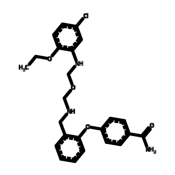 CCOc1ccc(Cl)cc1NCOCNCc1ccccc1Oc1ccc(C(N)=O)cc1